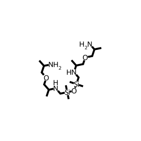 CC(N)COCC(C)NC[Si](C)(C)O[Si](C)(C)CNC(C)COCC(C)N